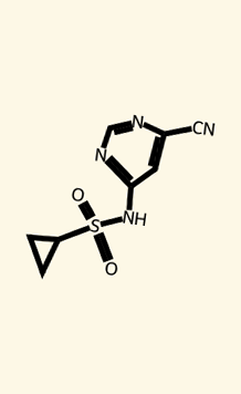 N#Cc1cc(NS(=O)(=O)C2CC2)ncn1